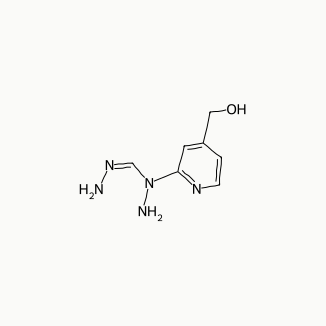 N/N=C\N(N)c1cc(CO)ccn1